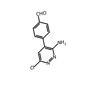 Nc1nnc(Cl)cc1-c1ccc(C=O)cc1